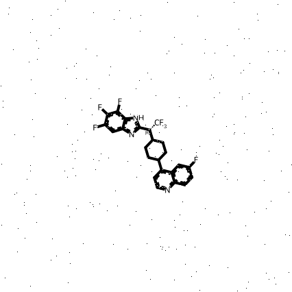 Fc1ccc2nccc(C3CCC([C@H](c4nc5cc(F)c(F)c(F)c5[nH]4)C(F)(F)F)CC3)c2c1